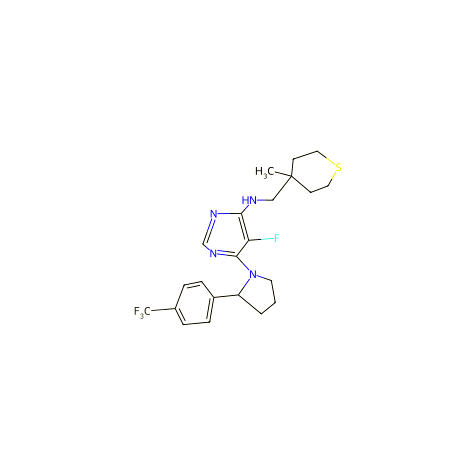 CC1(CNc2ncnc(N3CCCC3c3ccc(C(F)(F)F)cc3)c2F)CCSCC1